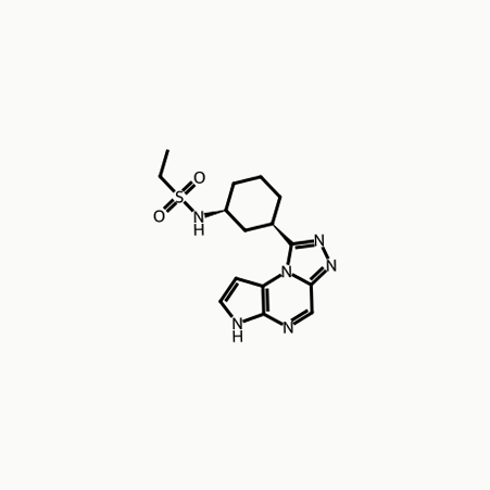 CCS(=O)(=O)N[C@H]1CCC[C@@H](c2nnc3cnc4[nH]ccc4n23)C1